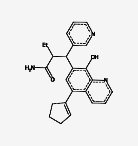 CCC(C(N)=O)C(c1cccnc1)c1cc(C2=CCCC2)c2cccnc2c1O